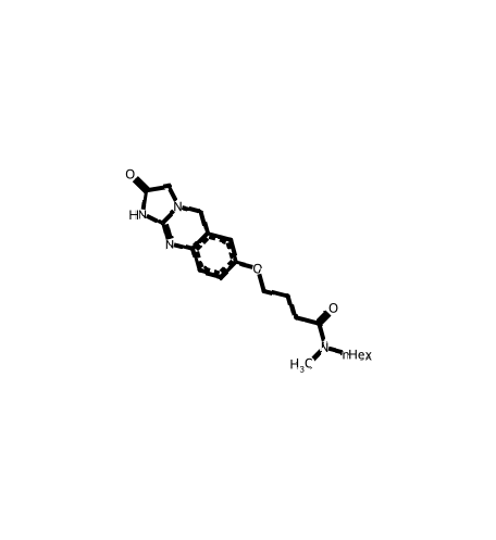 CCCCCCN(C)C(=O)CCCOc1ccc2c(c1)CN1CC(=O)NC1=N2